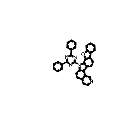 c1ccc(-c2nc(-c3ccccc3)nc(-n3c4ccc5ccncc5c4c4ccc5c6ccccc6oc5c43)n2)cc1